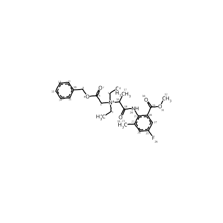 CC[N+](CC)(CC(=O)OCc1ccccc1)C(C)C(=O)Nc1c(C)cc(F)cc1C(=O)OC